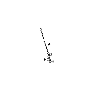 C=C.C=C.CCCCCCCCCCCCCCCCCCCCCC(=O)OCC(O)CO